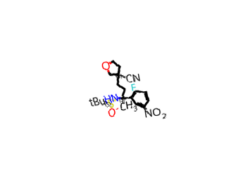 CC(C)(C)[S@@+]([O-])N[C@@](C)(CC[C@@]1(C#N)CCOC1)c1cc([N+](=O)[O-])ccc1F